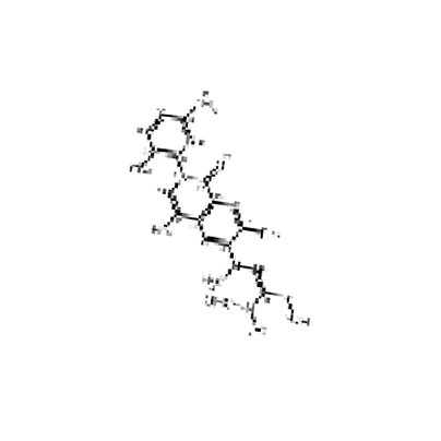 CCN(C=O)/C(CO)=N\N(C)c1cc2c(C(C)C)cn(-c3nc(C)ccc3Cl)c(=O)c2cc1F